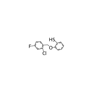 Fc1ccc(COc2ccccc2S)c(Cl)c1